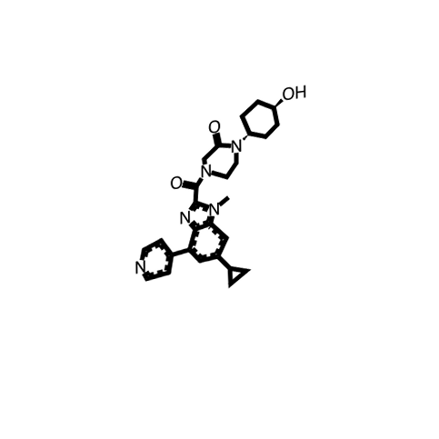 Cn1c(C(=O)N2CCN([C@H]3CC[C@H](O)CC3)C(=O)C2)nc2c(-c3ccncc3)cc(C3CC3)cc21